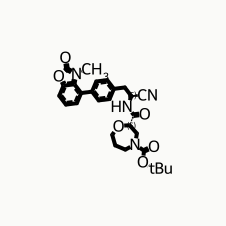 Cn1c(=O)oc2cccc(-c3ccc(C[C@@H](C#N)NC(=O)[C@@H]4CN(C(=O)OC(C)(C)C)CCCO4)cc3)c21